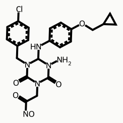 NN1C(=O)N(CC(=O)N=O)C(=O)N(Cc2ccc(Cl)cc2)C1Nc1ccc(OCC2CC2)cc1